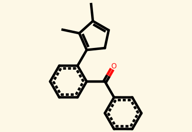 CC1=CCC(c2ccccc2C(=O)c2ccccc2)=C1C